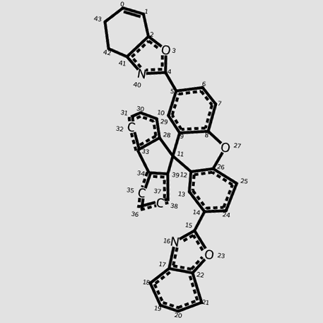 C1=Cc2oc(-c3ccc4c(c3)C3(c5cc(-c6nc7ccccc7o6)ccc5O4)c4ccccc4-c4ccccc43)nc2CC1